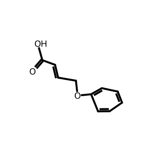 O=C(O)C=CCOc1ccccc1